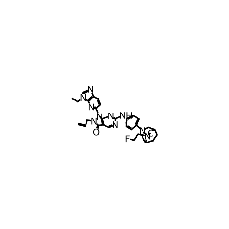 C=CCn1c(=O)c2cnc(Nc3ccc(N4CC5CCC(C4)N(CCF)C5)cc3)nc2n1-c1ccc2ncn(CC)c2n1